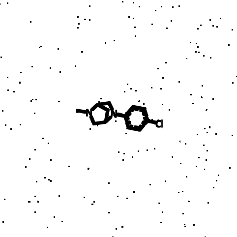 CN1CC2CC1CN2c1ccc(Cl)cc1